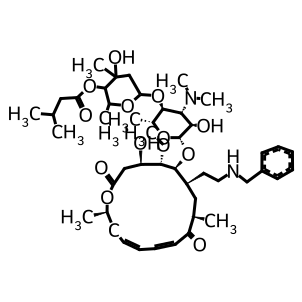 CO[C@@H]1[C@@H](O[C@@H]2O[C@H](C)[C@@H](OC3CC(C)(O)C(OC(=O)CC(C)C)C(C)O3)[C@H](N(C)C)[C@H]2O)[C@@H](CCNCc2ccccc2)C[C@@H](C)C(=O)C=CC=CC[C@@H](C)OC(=O)C[C@H]1O